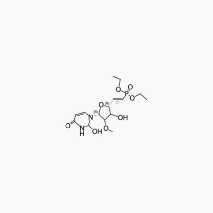 CCOP(=O)(/C=C/[C@H]1O[C@@H](N2C=CC(=O)NC2O)C(OC)C1O)OCC